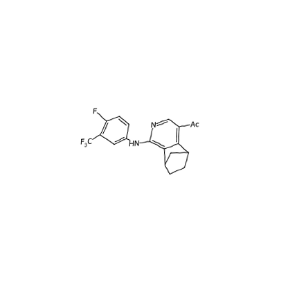 CC(=O)c1cnc(Nc2ccc(F)c(C(F)(F)F)c2)c2c1C1CCC2C1